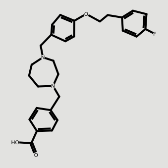 O=C(O)c1ccc(CN2CCCN(Cc3ccc(OCCc4ccc(F)cc4)cc3)CC2)cc1